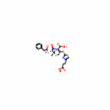 COC(=O)CCc1csc(SC2=C(C(=O)O)N3C(=O)[C@@H](NC(=O)Cc4ccccc4)[C@H]3SC2)n1